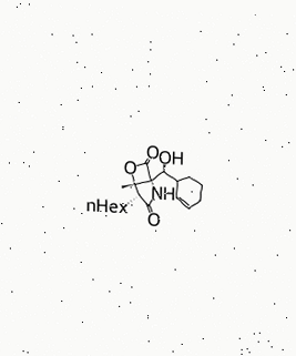 CCCCCC[C@H]1C(=O)N[C@@]2([C@@H](O)C3C=CCCC3)C(=O)O[C@@]12C